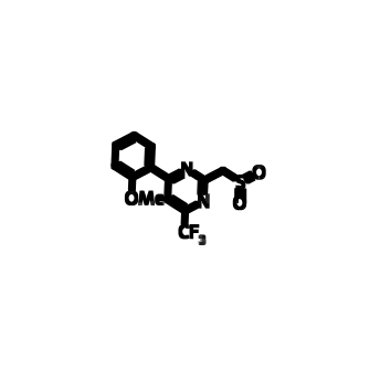 COc1ccccc1-c1cc(C(F)(F)F)nc(C[SH](=O)=O)n1